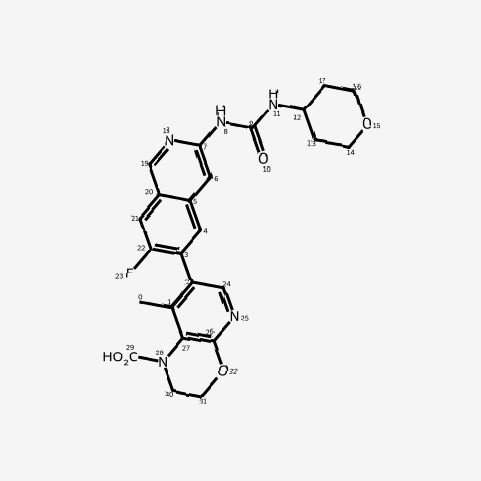 Cc1c(-c2cc3cc(NC(=O)NC4CCOCC4)ncc3cc2F)cnc2c1N(C(=O)O)CCO2